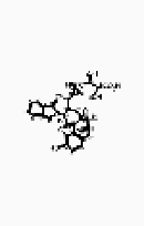 O=C(O)C(O)C(O)C(=O)O.O=C1c2ccccc2CN1[C@@H]1C(CC2CC2)CC2(O)[C@H]3Cc4ccc(O)c5c4[C@@]2(CCN3)[C@H]1O5